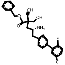 C#CC(CO)(C[C@H](N)Cc1ccc(-c2cc(Cl)ccc2F)cc1)C(=O)OCc1ccccc1